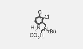 CC(C)(C)N(CC(=O)O)Cc1c(N)ccc(Cl)c1Cl